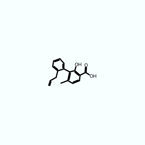 C=CCc1ccccc1-c1c(C)ccc(C(=O)O)c1O